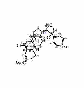 [C-]#[N+]/C(=C1\CC[C@H]2[C@@H]3CC(Cl)=C4C=C(OC)CC[C@]4(C)[C@H]3CC[C@]12C)S(=O)(=O)c1ccc(C)cc1